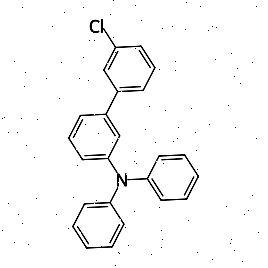 Clc1cccc(-c2cccc(N(c3ccccc3)c3ccccc3)c2)c1